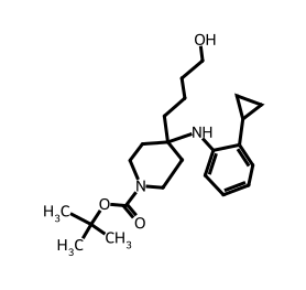 CC(C)(C)OC(=O)N1CCC(CCCCO)(Nc2ccccc2C2CC2)CC1